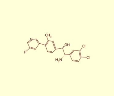 Cc1cc([C@@H](O)[C@@H](N)c2ccc(Cl)c(Cl)c2)ccc1-c1cncc(F)c1